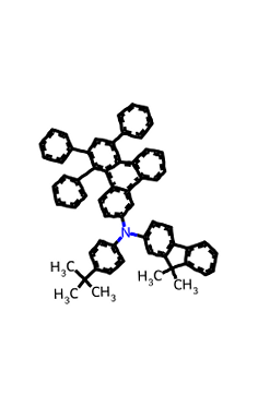 CC(C)(C)c1ccc(N(c2ccc3c(c2)C(C)(C)c2ccccc2-3)c2ccc3c(c2)c2ccccc2c2c(-c4ccccc4)cc(-c4ccccc4)c(-c4ccccc4)c32)cc1